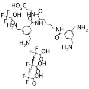 NCc1cc(CN)cc(C(=O)NCCCCC(NC(=O)c2cc(CN)cc(CN)c2)C(=O)NCCC(=O)O)c1.O=C(O)C(F)(F)F.O=C(O)C(F)(F)F.O=C(O)C(F)(F)F.O=C(O)C(F)(F)F